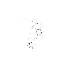 CN(CC(F)(F)F)C(=O)Nc1c(Br)cc(F)c(C(=O)Nc2nnnn2C)c1Br